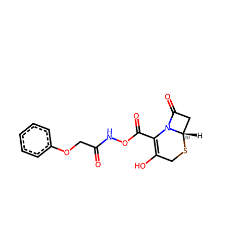 O=C(COc1ccccc1)NOC(=O)C1=C(O)CS[C@H]2CC(=O)N12